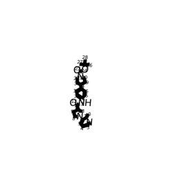 Cc1ncccc1N1CCC(C(=O)Nc2ccc(C3CCN(C(=O)OC(C)(C)C)CC3)cc2)C1